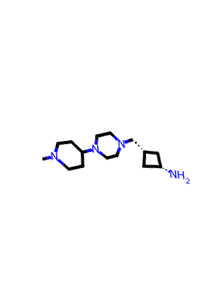 CN1CCC(N2CCN(C[C@H]3C[C@@H](N)C3)CC2)CC1